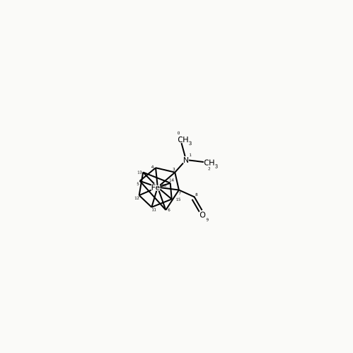 CN(C)[C]12[CH]3[CH]4[CH]5[C]1(C=O)[Fe]45321678[CH]2[CH]1[CH]6[CH]7[CH]28